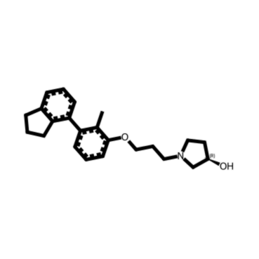 Cc1c(OCCCN2CC[C@@H](O)C2)cccc1-c1cccc2c1CCC2